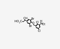 CCNc1cc(Cl)cc(COc2c(Br)cc(C(C)CC(=O)O)cc2Br)c1Cl